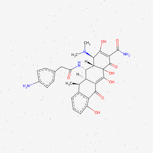 C[C@@H]1c2cccc(O)c2C(=O)C2=C(O)C3(O)C(=O)C(C(N)=O)=C(O)[C@H](N(C)C)[C@H]3[C@@H](NC(=O)Cc3ccc(N)cc3)[C@@H]21